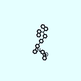 c1cc(-c2ccc(-c3ccc4c5ccccc5n(-c5ccc6oc7ccccc7c6c5)c4c3)cc2)cc(C(c2cccc3ccccc23)c2cccc3ccccc23)c1